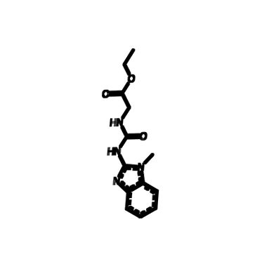 CCOC(=O)CNC(=O)Nc1nc2ccccc2n1C